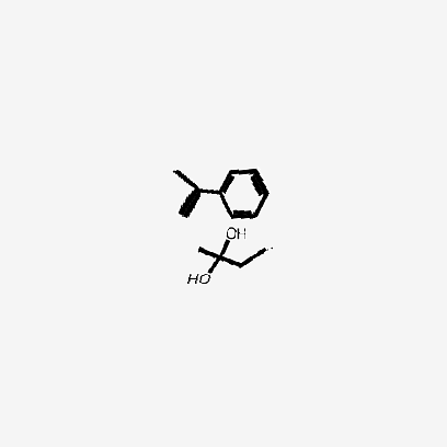 C=C(C)c1ccccc1.[CH2]CC(C)(O)O